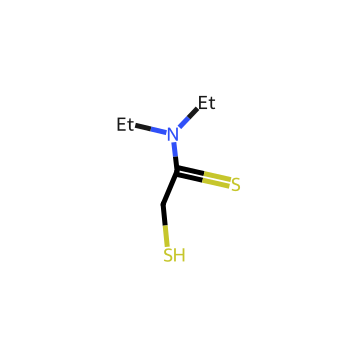 CCN(CC)C(=S)CS